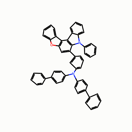 c1ccc(-c2ccc(N(c3ccc(-c4ccccc4)cc3)c3cccc(-c4cc5oc6ccccc6c5c5c6ccccc6n(-c6ccccc6)c45)c3)cc2)cc1